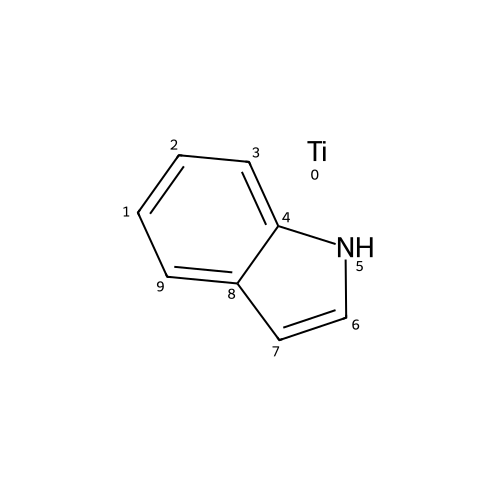 [Ti].c1ccc2[nH]ccc2c1